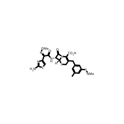 CNSc1cc(C)cc(CC2=C(C(=O)O)N3C(=O)[C@@H](NC(=O)/C(=N\OC)c4csc(N)n4)[C@H]3SC2)c1